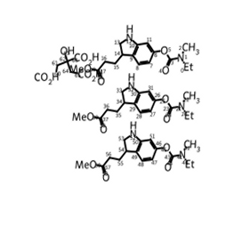 CCN(C)C(=O)Oc1ccc2c(c1)NCC2CCC(=O)OC.CCN(C)C(=O)Oc1ccc2c(c1)NCC2CCC(=O)OC.CCN(C)C(=O)Oc1ccc2c(c1)NCC2CCC(=O)OC.O=C(O)CC(O)(CC(=O)O)C(=O)O